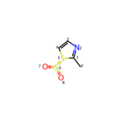 CC1=NC=CS1=S(=O)=O